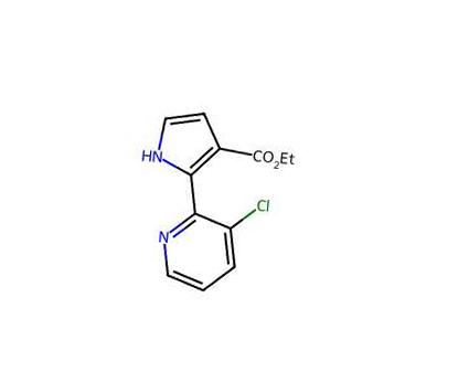 CCOC(=O)c1cc[nH]c1-c1ncccc1Cl